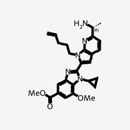 C=CCCCn1c(-c2nc3cc(C(=O)OC)cc(OC)c3n2C2CC2)cc2ccc([C@@H](C)N)nc21